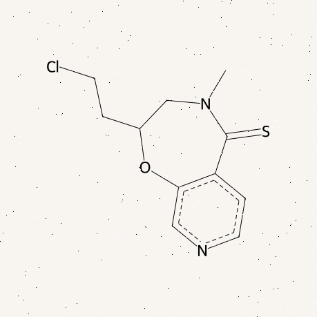 CN1CC(CCCl)Oc2cnccc2C1=S